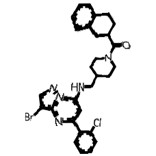 O=C(C1CCc2ccccc2C1)N1CCC(CNc2cc(-c3ccccc3Cl)nc3c(Br)cnn23)CC1